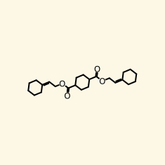 O=C(OCC=C1CCCCC1)C1CCC(C(=O)OCC=C2CCCCC2)CC1